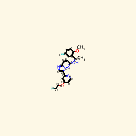 COc1ccc(F)cc1[C@@H](C)Nc1ccc2ncc(-c3cc(OCCF)ccn3)n2n1